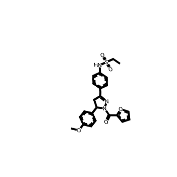 CCS(=O)(=O)Nc1ccc(C2=NN(C(=O)c3ccco3)C(c3ccc(OC)cc3)C2)cc1